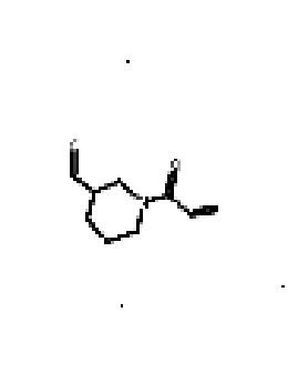 C=CC(=O)N1CCCC(C=O)C1